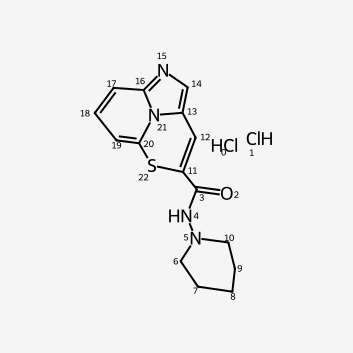 Cl.Cl.O=C(NN1CCCCC1)C1=Cc2cnc3cccc(n23)S1